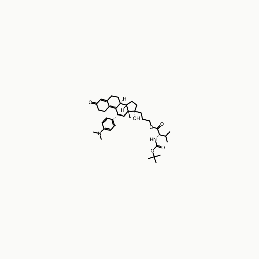 CC(C)[C@H](NC(=O)OC(C)(C)C)C(=O)OCCC[C@]1(O)CC[C@H]2[C@@H]3CCC4=CC(=O)CCC4=C3[C@@H](c3ccc(N(C)C)cc3)C[C@]21C